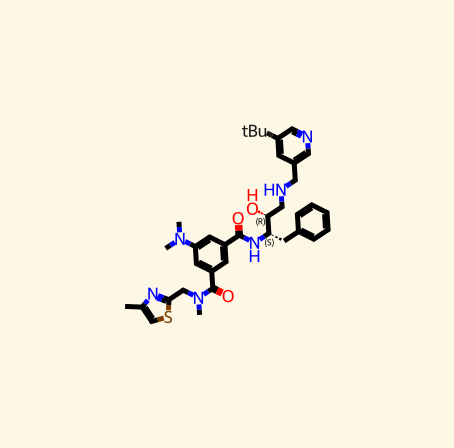 Cc1csc(CN(C)C(=O)c2cc(C(=O)N[C@@H](Cc3ccccc3)[C@H](O)CNCc3cncc(C(C)(C)C)c3)cc(N(C)C)c2)n1